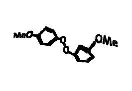 COc1ccc(OOc2cccc(OC)c2)cc1